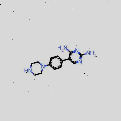 Nc1ncc(-c2ccc(N3CCNCC3)cc2)c(N)n1